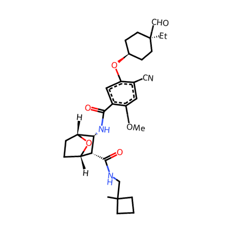 CC[C@]1(C=O)CC[C@@H](Oc2cc(C(=O)N[C@@H]3[C@H](C(=O)NCC4(C)CCC4)[C@@H]4CC[C@H]3O4)c(OC)cc2C#N)CC1